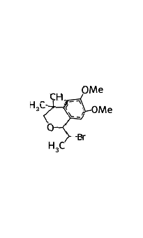 COc1cc2c(cc1OC)C(C)(C)COC2C(C)Br